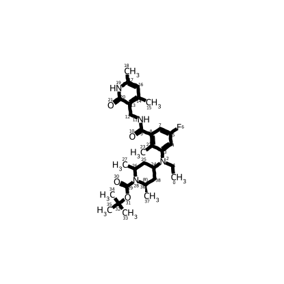 CCN(c1cc(F)cc(C(=O)NCc2c(C)cc(C)[nH]c2=O)c1C)C1CC(C)N(C(=O)OC(C)(C)C)[C@H](C)C1